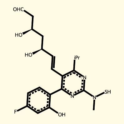 CC(C)c1nc(N(C)S)nc(-c2ccc(F)cc2O)c1/C=C/[C@@H](O)C[C@@H](O)CC=O